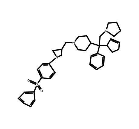 O=S(=O)(c1ccccc1)c1ccc(N2CC(CN3CCC(C(CN4CCCC4)(c4ccccc4)C4C=CCC4)CC3)C2)cc1